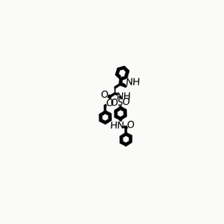 O=C(Nc1ccc(S(=O)(=O)N[C@H](Cc2c[nH]c3ccccc23)C(=O)OCc2ccccc2)cc1)c1ccccc1